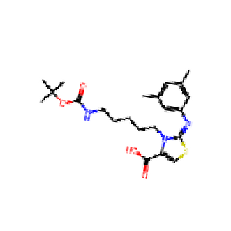 Cc1cc(C)cc(N=c2scc(C(=O)O)n2CCCCCNC(=O)OC(C)(C)C)c1